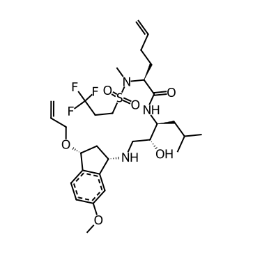 C=CCC[C@@H](C(=O)N[C@@H](CC(C)C)[C@H](O)CN[C@H]1C[C@@H](OCC=C)c2ccc(OC)cc21)N(C)S(=O)(=O)CCC(F)(F)F